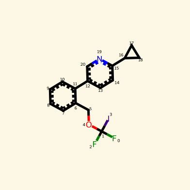 FC(F)(I)OCc1ccccc1-c1ccc(C2CC2)nc1